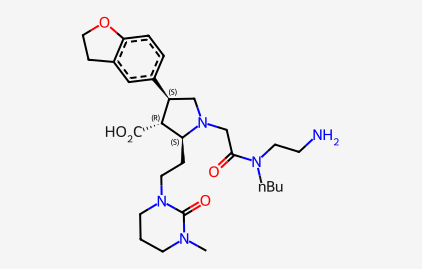 CCCCN(CCN)C(=O)CN1C[C@H](c2ccc3c(c2)CCO3)[C@@H](C(=O)O)[C@@H]1CCN1CCCN(C)C1=O